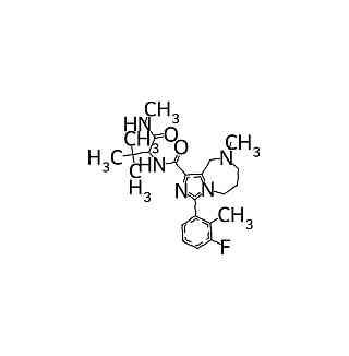 CNC(=O)C(NC(=O)c1nc(-c2cccc(F)c2C)n2c1CN(C)CCC2)C(C)(C)C